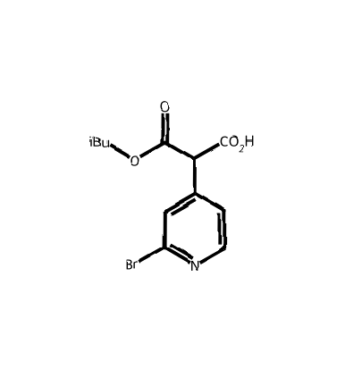 CCC(C)OC(=O)C(C(=O)O)c1ccnc(Br)c1